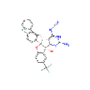 N#C/N=c1\[nH]c(N)nc2c1[C@@H](/C=C/c1ccccc1)[C@]1(c3ccc(F)cc3)Oc3ccc(C(F)(F)F)cc3[C@]21O